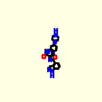 NC(=O)c1nc(-c2cccc3[nH]ncc23)oc1-c1ccc(N2CCNCC2)cc1